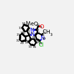 COC(=O)c1nn(C(c2ccccc2)(c2ccccc2)c2ccccc2)c2cc(Cl)nc(C)c12